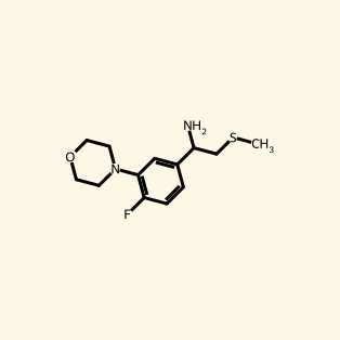 CSCC(N)c1ccc(F)c(N2CCOCC2)c1